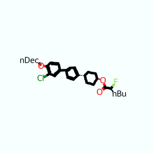 CCCCCCCCCCOc1ccc(-c2ccc([C@H]3CC[C@H](OC(=O)[C@@H](F)CCCC)CC3)cc2)cc1Cl